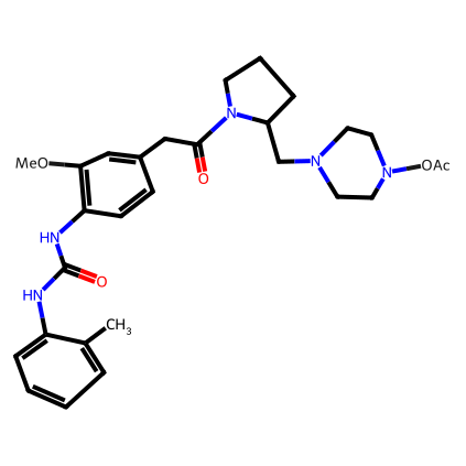 COc1cc(CC(=O)N2CCCC2CN2CCN(OC(C)=O)CC2)ccc1NC(=O)Nc1ccccc1C